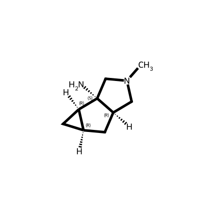 CN1C[C@H]2C[C@H]3C[C@H]3[C@@]2(N)C1